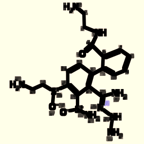 NCCNC(=O)c1ccccc1-c1ccc([S+]([O-])CCN)c([S+](N)[O-])c1/C(N)=N/NN